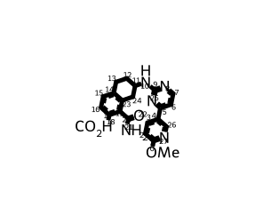 COc1ccc(-c2ccnc(NC3CCc4ccc(C(=O)O)c(C(N)=O)c4C3)n2)cn1